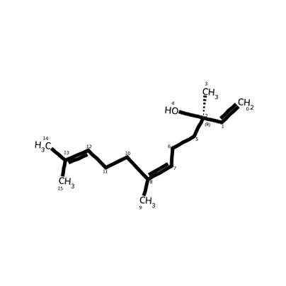 C=C[C@](C)(O)CCC=C(C)CCC=C(C)C